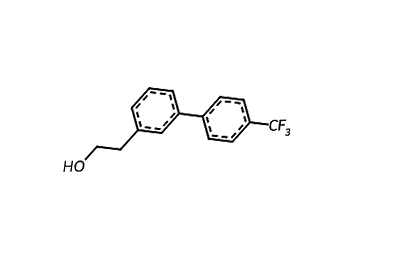 OCCc1cccc(-c2ccc(C(F)(F)F)cc2)c1